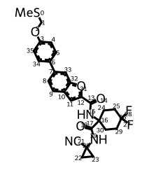 CSCOc1ccc(-c2ccc3cc(C(=O)NC4(C(=O)NC5(C#N)CC5)CCC(F)(F)CC4)oc3c2)cc1